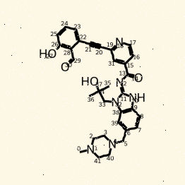 CN1CCN(Cc2ccc3[nH]/c(=N\C(=O)c4ccnc(C#Cc5cccc(O)c5C=O)c4)n(CC(C)(C)O)c3c2)CC1